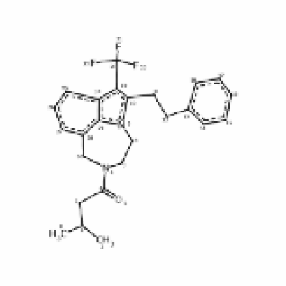 CC(C)CC(=O)N1CCn2c(CCc3ccccc3)c(C(F)(F)F)c3cccc(c32)C1